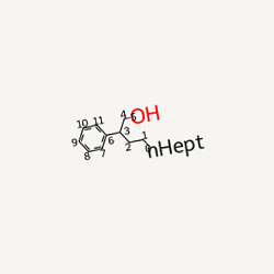 CCCCCCCCCC(CO)c1ccccc1